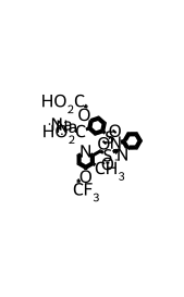 Cc1c(OCC(F)(F)F)ccnc1C[S+]([O-])c1nc2ccccc2n1S(=O)(=O)c1ccc(OCC(=O)O)c(C(=O)O)c1.[Na].[Na]